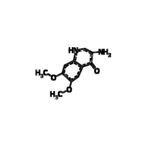 COc1cc2[nH]cc(N)c(=O)c2cc1OC